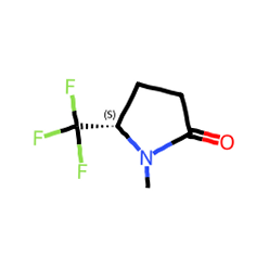 CN1C(=O)CC[C@H]1C(F)(F)F